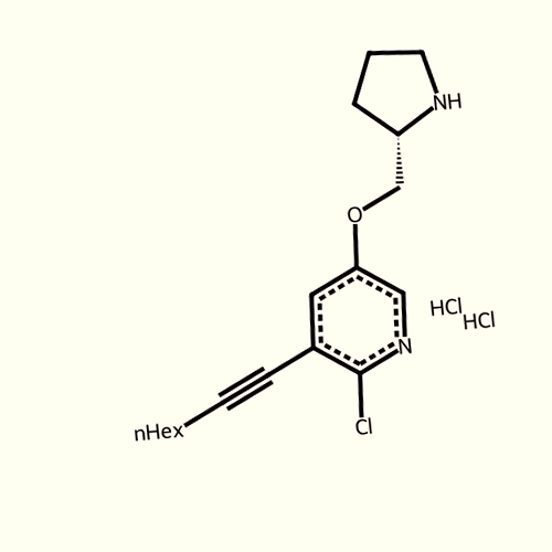 CCCCCCC#Cc1cc(OC[C@@H]2CCCN2)cnc1Cl.Cl.Cl